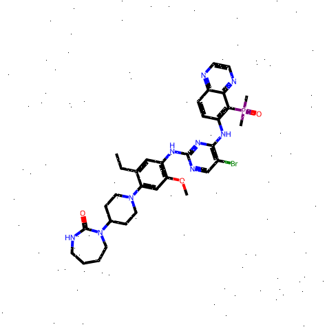 CCc1cc(Nc2ncc(Br)c(Nc3ccc4nccnc4c3P(C)(C)=O)n2)c(OC)cc1N1CCC(N2CCCCNC2=O)CC1